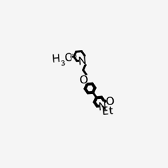 CCn1ccc(-c2ccc(OCCCN3CCC[C@@H](C)C3)cc2)cc1=O